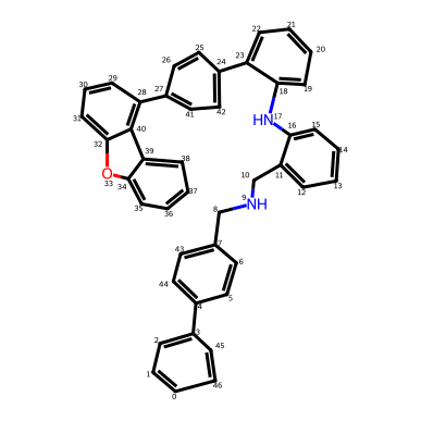 c1ccc(-c2ccc(CNCc3ccccc3Nc3ccccc3-c3ccc(-c4cccc5oc6ccccc6c45)cc3)cc2)cc1